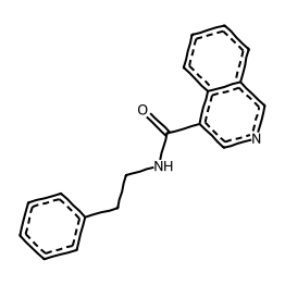 O=C(NCCc1ccccc1)c1cncc2ccccc12